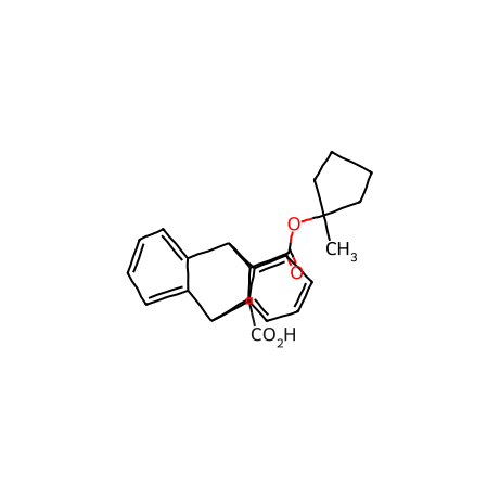 CC1(OC(=O)C2C3c4ccccc4C(c4ccccc43)C2C(=O)O)CCCC1